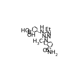 CCc1nnc(-n2c(C)cc3c([S+](N)[O-])cccc32)nc1NCc1cccc(B(O)O)c1